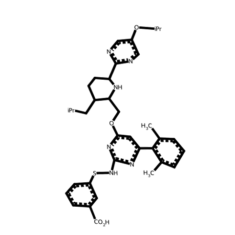 Cc1cccc(C)c1-c1cc(OCC2NC(c3ncc(OC(C)C)cn3)CCC2CC(C)C)nc(NSc2cccc(C(=O)O)c2)n1